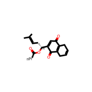 [CH2]CCC(=O)O[C@H](CC=C(C)C)C1=CC(=O)C2=C(CC=CC2)C1=O